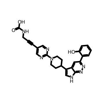 O=C(O)NCC#Cc1cnc(N2CCC(c3c[nH]c4nnc(-c5ccccc5O)cc34)CC2)nc1